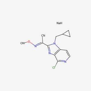 N#CC(=NON=O)c1nc2c(Cl)nccc2n1CC1CC1.[NaH]